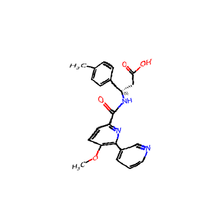 COc1ccc(C(=O)N[C@@H](CC(=O)O)c2ccc(C)cc2)nc1-c1cccnc1